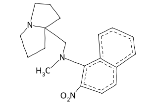 CN(CC12CCCN1CCC2)c1c([N+](=O)[O-])ccc2ccccc12